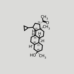 CC(=O)[C@H]1CC(C2CC2)[C@H]2[C@@H]3CC[C@@H]4C[C@](C)(O)CC[C@@H]4[C@H]3CC[C@]12C